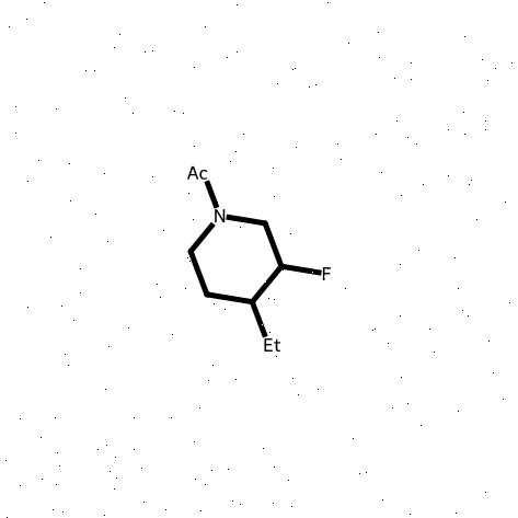 CCC1CCN(C(C)=O)CC1F